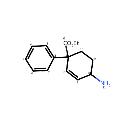 CCOC(=O)C1(c2ccccc2)C=CC(N)CC1